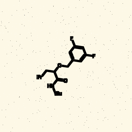 CC(C)CC(OCc1cc(F)cc(F)c1)C(=O)NC(C)(C)C